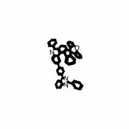 c1ccc(-c2nc(-c3ccc(-c4ccc5nc(-c6ccccc6)c6ccc7c(c6c5c4)-c4ccccc4C74c5ccccc5Oc5ccccc54)cc3)c3ccccc3n2)cc1